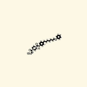 CC(C)(C)OC(=O)N1CCN(C(=O)Nc2ccc(CCCCCCCOc3ccccc3)cc2)CC1